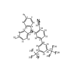 Cc1ccc2c(c1)c1cc(C)ccc1n2-c1cc(-c2cc(C(F)(F)F)cc(C(F)(F)F)c2)ccc1C#N